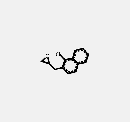 Clc1c(CC2CO2)ccc2ccccc12